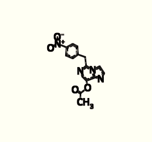 CC(=O)Oc1cnc(Cc2ccc([N+](=O)[O-])cc2)n2ccnc12